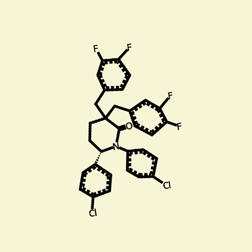 O=C1N(c2ccc(Cl)cc2)[C@H](c2ccc(Cl)cc2)CCC1(Cc1ccc(F)c(F)c1)Cc1ccc(F)c(F)c1